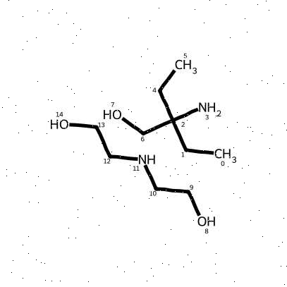 CCC(N)(CC)CO.OCCNCCO